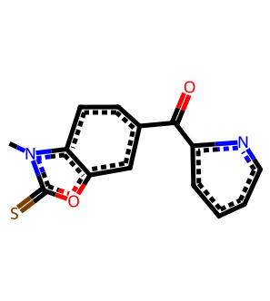 Cn1c(=S)oc2cc(C(=O)c3ccccn3)ccc21